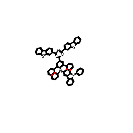 c1ccc(-c2cc(-c3nc(-c4ccc5c(c4)sc4ccccc45)nc(-c4ccc5c(c4)sc4ccccc45)n3)cc(-c3ccccc3)c2N(c2ccccc2)c2ccc3c(c2)c2ccccc2n3-c2ccccc2)cc1